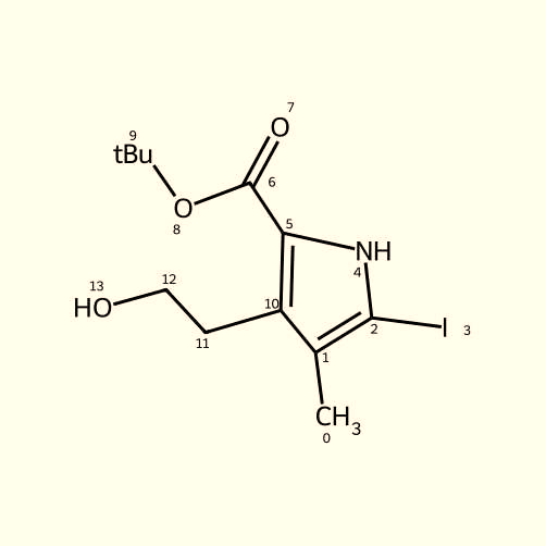 Cc1c(I)[nH]c(C(=O)OC(C)(C)C)c1CCO